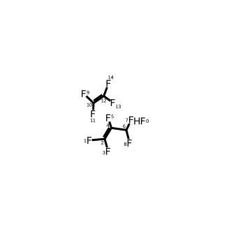 F.FC(F)=C(F)C(F)F.FC(F)=C(F)F